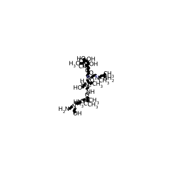 CC(N)CC(C)/N=C/C(COC(C)(C)C)OC(/C=N/CCN(CCO)CCNOCN(CONCCN(CCN)CCO)C(C)(C)C)OCC1OC(C(C)(C)C)C(O)C(O)C1O